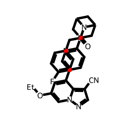 CCOc1cc(-c2ccc(N3CC4CC(C3)N4C(=O)Cc3ccc(F)cc3)nc2)c2c(C#N)cnn2c1